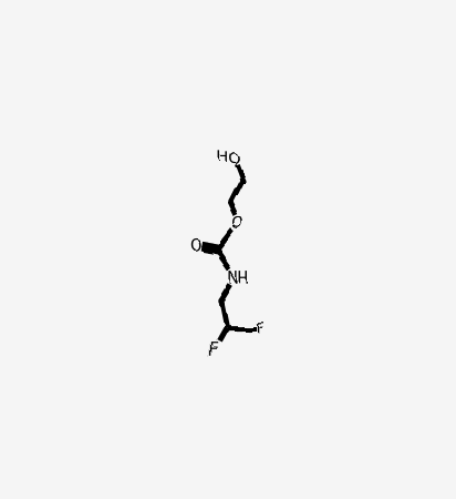 O=C(NCC(F)F)OCCO